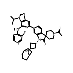 CC(=O)N1CCC2(CC1)C(=O)N([C@H]1C[C@@H](N3C4CCCC3CC4)C1)c1cc(-c3cc4ncn(C(C)C)c4c(Nc4ccncc4F)n3)ccc12